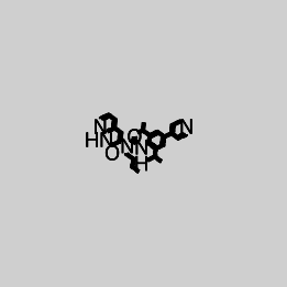 CCCCN(C(=O)Nc1c(C(C)C)cc(-c2ccncc2)cc1C(C)C)c1cc2cccnc2[nH]c1=O